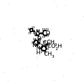 Cc1cc(Nc2cc(Oc3cn(C4CCC4)nc3C3CCOCC3)ccn2)cc(C(C)(C)C(=O)O)c1